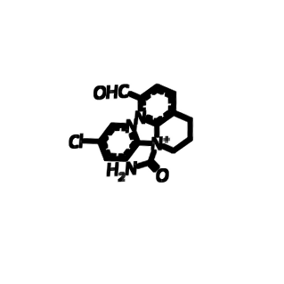 NC(=O)[N+]1(c2ccc(Cl)cn2)CCCc2ccc(C=O)nc21